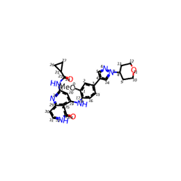 COc1cc(-c2cnn(C3CCOCC3)c2)ccc1Nc1cc(NC(=O)C2CC2)nc2cc[nH]c(=O)c12